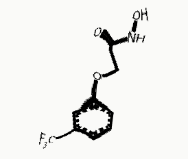 O=C(COc1cccc(C(F)(F)F)c1)NO